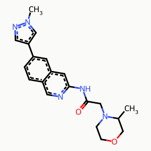 CC1COCCN1CC(=O)Nc1cc2cc(-c3cnn(C)c3)ccc2cn1